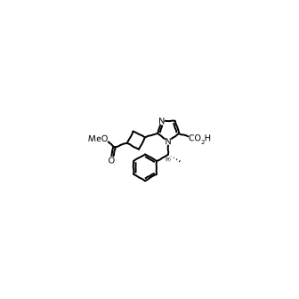 COC(=O)C1CC(c2ncc(C(=O)O)n2[C@H](C)c2ccccc2)C1